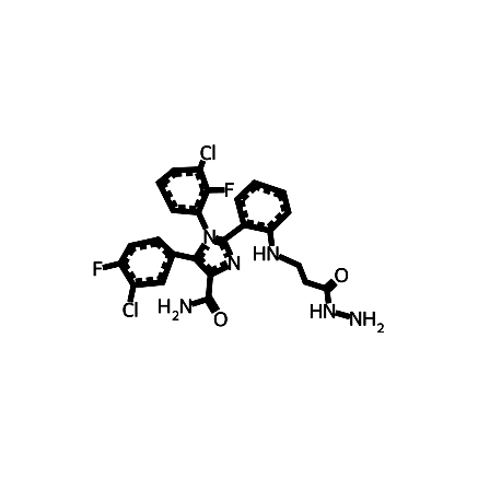 NNC(=O)CCNc1ccccc1-c1nc(C(N)=O)c(-c2ccc(F)c(Cl)c2)n1-c1cccc(Cl)c1F